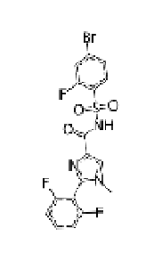 Cn1cc(C(=O)NS(=O)(=O)c2ccc(Br)cc2F)nc1-c1c(F)cccc1F